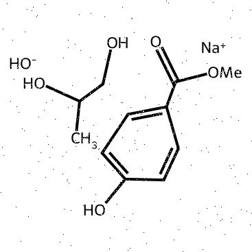 CC(O)CO.COC(=O)c1ccc(O)cc1.[Na+].[OH-]